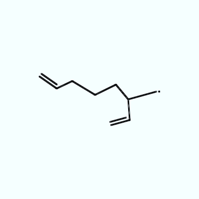 [CH2]C(C=C)CCCC=C